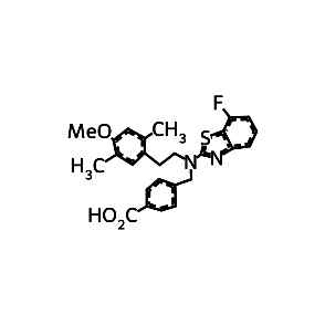 COc1cc(C)c(CCN(Cc2ccc(C(=O)O)cc2)c2nc3cccc(F)c3s2)cc1C